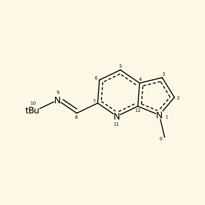 Cn1ccc2ccc(/C=N/C(C)(C)C)nc21